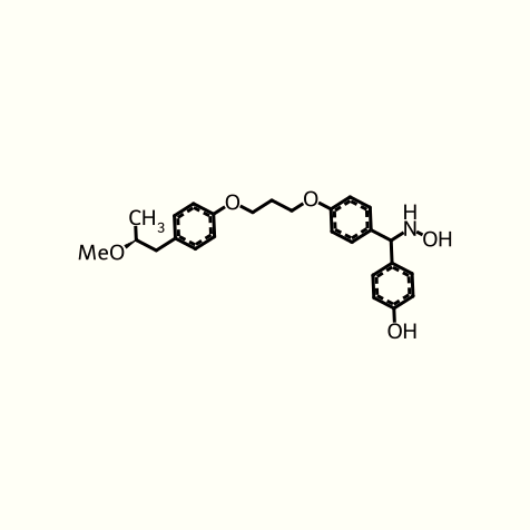 CO[C@@H](C)Cc1ccc(OCCCOc2ccc(C(NO)c3ccc(O)cc3)cc2)cc1